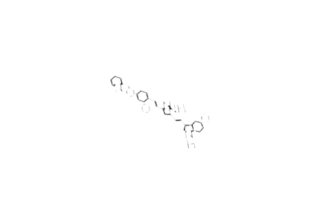 COc1ccc2[nH]cc(/C=C/c3cc(/C=C/c4ccc(OCc5ccccn5)cc4OC)n[nH]3)c2c1